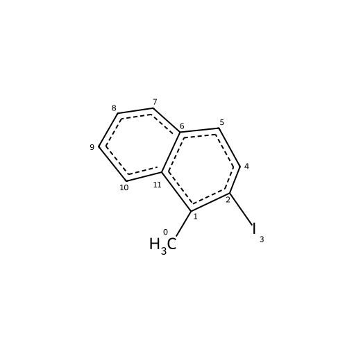 Cc1c(I)ccc2ccccc12